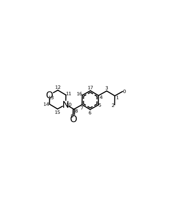 CC(C)Cc1ccc(C(=O)N2CCOCC2)cc1